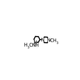 CNN1CCCC(N2CCN(C)CC2)C1